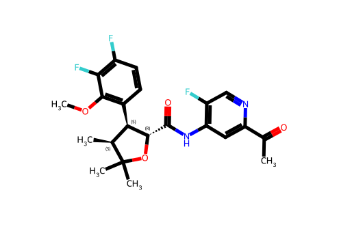 COc1c([C@H]2[C@H](C(=O)Nc3cc(C(C)=O)ncc3F)OC(C)(C)[C@H]2C)ccc(F)c1F